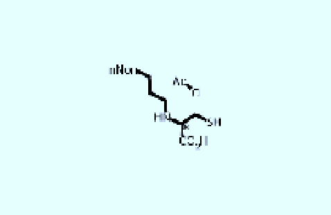 CC(=O)Cl.CCCCCCCCCCCCN[C@@H](CS)C(=O)O